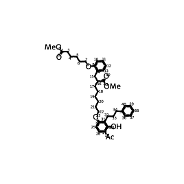 COC(=O)CCCCCOc1ccccc1CC(CCCCCCOc1ccc(C(C)=O)c(O)c1CCCc1ccccc1)C(=O)OC